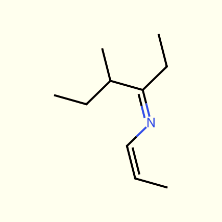 C/C=C\N=C(\CC)C(C)CC